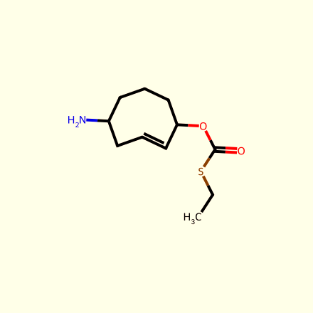 CCSC(=O)OC1/C=C/CC(N)CCC1